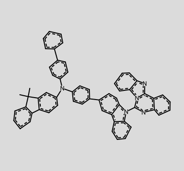 CC1(C)c2ccccc2-c2ccc(N(c3ccc(-c4ccccc4)cc3)c3ccc(-c4ccc5c(c4)c4ccccc4n5-c4nc5ccccc5c5nc6ccccc6n45)cc3)cc21